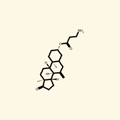 C=C1CC2C[C@@H](OC(=O)CCN)CC[C@]2(C)[C@H]2CC[C@]3(C)C(=O)CC[C@H]3[C@H]12